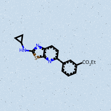 CCOC(=O)c1cccc(-c2ccc3nc(NC4CC4)sc3n2)c1